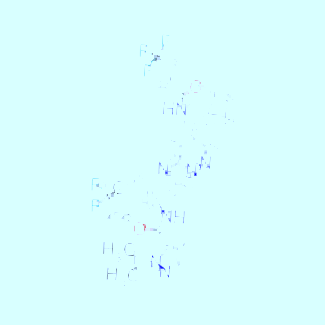 CC(C)n1nccc1C(=O)N[C@H](c1cn2ncc([C@H](NC(=O)CCC(F)(F)F)C3CCC3)cc2n1)C1CCC(F)(F)CC1